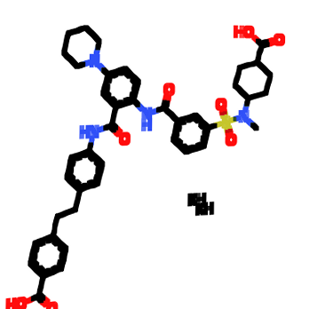 CN(C1CCC(C(=O)O)CC1)S(=O)(=O)c1cccc(C(=O)Nc2ccc(N3CCCCC3)cc2C(=O)Nc2ccc(CCc3ccc(C(=O)O)cc3)cc2)c1.[KH].[KH]